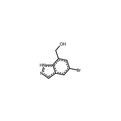 OCc1cc(Br)cc2cn[nH]c12